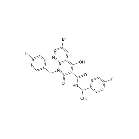 CC(NC(=O)c1c(O)c2cc(Br)cnc2n(Cc2ccc(F)cc2)c1=O)c1ccc(F)cc1